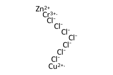 [Cl-].[Cl-].[Cl-].[Cl-].[Cl-].[Cl-].[Cl-].[Cr+3].[Cu+2].[Zn+2]